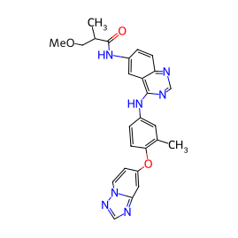 COCC(C)C(=O)Nc1ccc2ncnc(Nc3ccc(Oc4ccn5ncnc5c4)c(C)c3)c2c1